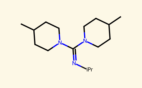 CC1CCN(C(=NC(C)C)N2CCC(C)CC2)CC1